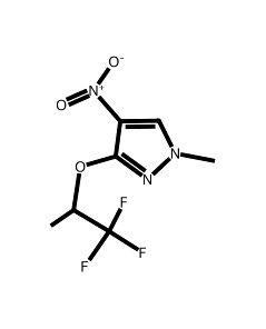 CC(Oc1nn(C)cc1[N+](=O)[O-])C(F)(F)F